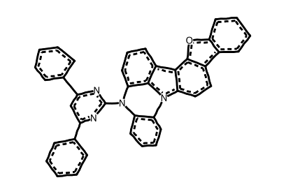 c1ccc(-c2cc(-c3ccccc3)nc(N3c4ccccc4-n4c5ccc6c7ccccc7oc6c5c5cccc3c54)n2)cc1